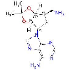 CC1(C)O[C@H]2[C@@H](CN)C[C@@H](n3cnc4c(N)ncnc43)[C@H]2O1